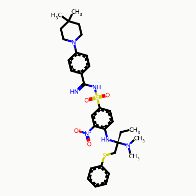 CC[C@@](CSc1ccccc1)(Nc1ccc(S(=O)(=O)NC(=N)c2ccc(N3CCC(C)(C)CC3)cc2)cc1[N+](=O)[O-])N(C)C